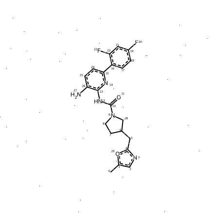 Cc1cnc(CC2CCN(C(=O)Nc3nc(-c4ccc(F)cc4F)ccc3N)C2)o1